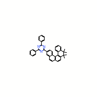 CC1(C)c2ccccc2-c2c(ccc3ccc4cc(-c5nc(-c6ccccc6)nc(-c6ccccc6)n5)ccc4c23)C1(C)C